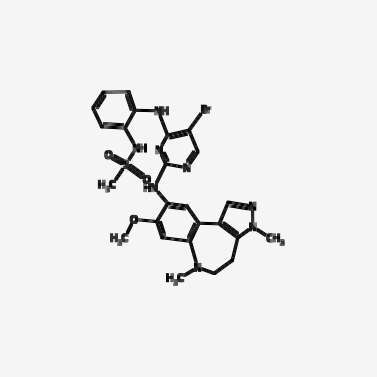 COc1cc2c(cc1Nc1ncc(Br)c(Nc3ccccc3NS(C)(=O)=O)n1)-c1cnn(C)c1CCN2C